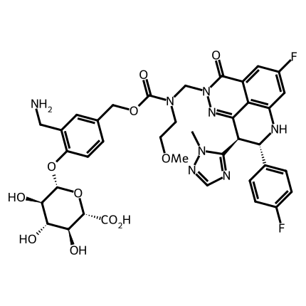 COCCN(Cn1nc2c3c(cc(F)cc3c1=O)N[C@H](c1ccc(F)cc1)[C@H]2c1ncnn1C)C(=O)OCc1ccc(O[C@@H]2O[C@H](C(=O)O)[C@@H](O)[C@H](O)[C@H]2O)c(CN)c1